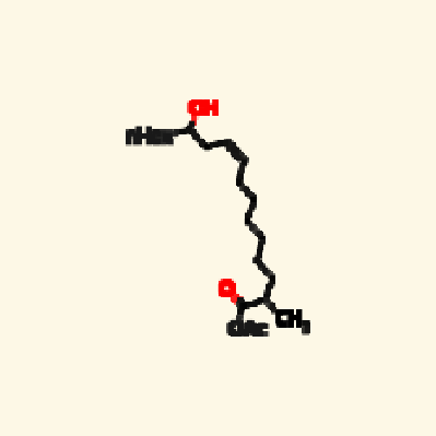 CCCCCCC(O)C/C=C\CCCCCCC(C)C(=O)OC(C)=O